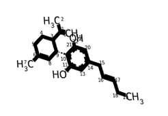 C=C(C)C1CCC(C)=C[C@H]1c1c(O)cc(C/C=C/CC)cc1O